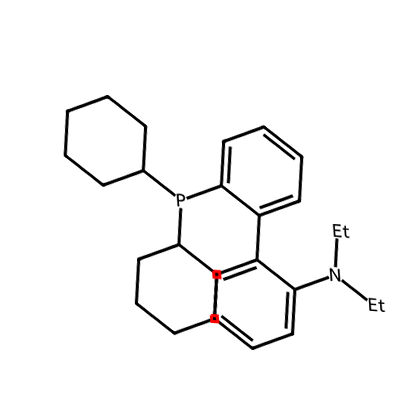 CCN(CC)c1ccccc1-c1ccccc1P(C1CCCCC1)C1CCCCC1